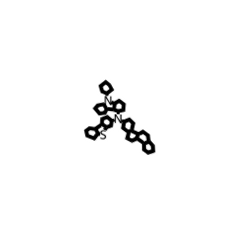 c1ccc(-n2c3ccccc3c3c(N(c4ccc5c(ccc6c7ccccc7ccc56)c4)c4ccc5c(c4)sc4ccccc45)cccc32)cc1